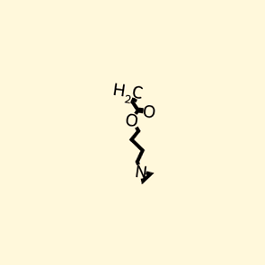 C=CC(=O)OCCCCN1CC1